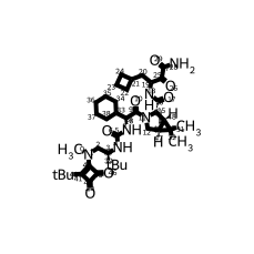 CN(C[C@@H](NC(=O)N[C@H](C(=O)N1C[C@H]2[C@@H]([C@H]1C(=O)NC(CC1CCC1)C(=O)C(N)=O)C2(C)C)C1CCCCC1)C(C)(C)C)c1c(C(C)(C)C)c(=O)c1=O